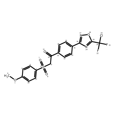 COc1ccc(S(=O)(=O)CC(=O)c2ccc(-c3noc(C(F)(F)Cl)n3)cc2)cc1